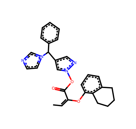 CC=C(Oc1cccc2c1CCCC2)C(=O)On1cc(C(c2ccccc2)n2ccnc2)cn1